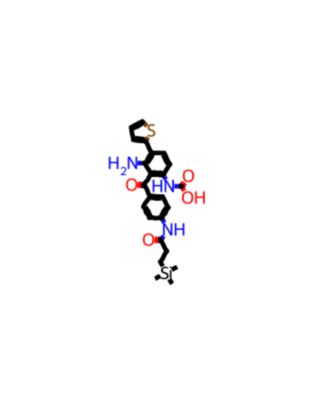 C[Si](C)(C)CCC(=O)Nc1ccc(C(=O)c2c(NC(=O)O)ccc(-c3cccs3)c2N)cc1